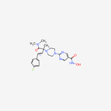 CN(C)C(=O)C(C)(/C=C/c1ccc(F)cc1)N1CCN(c2ncc(C(=O)NO)cn2)CC1